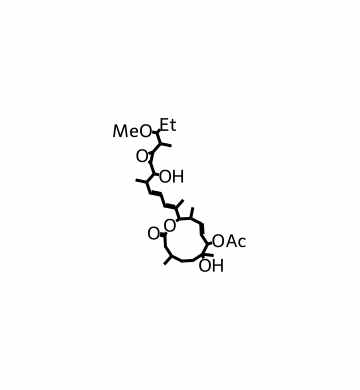 CCC(OC)C(C)C1OC1C(O)C(C)/C=C/C=C(\C)C1OC(=O)CC(C)CCC(C)(O)C(OC(C)=O)/C=C/C1C